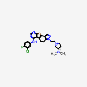 CN(C)[C@H]1CCN(CCn2ncc3c2CCc2c-3sc3ncnc(Nc4ccc(F)c(Cl)c4)c23)C1